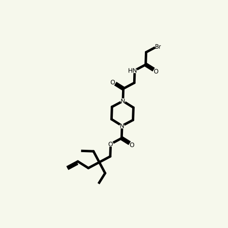 C=CCC(CC)(CC)COC(=O)N1CCN(C(=O)CNC(=O)CBr)CC1